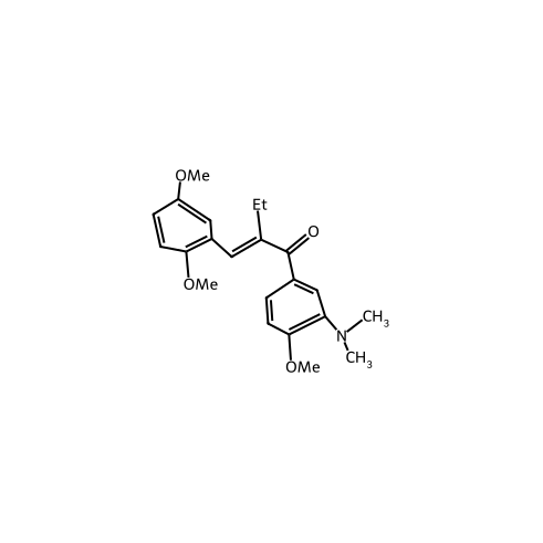 CC/C(=C\c1cc(OC)ccc1OC)C(=O)c1ccc(OC)c(N(C)C)c1